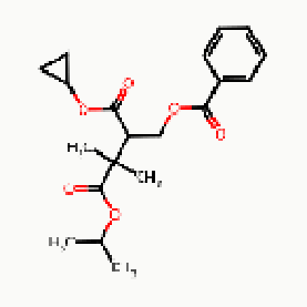 CC(C)OC(=O)C(C)(C)C(COC(=O)c1ccccc1)C(=O)OC1CC1